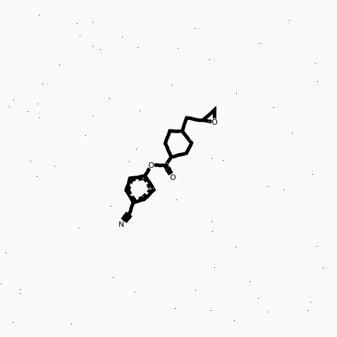 N#Cc1ccc(OC(=O)C2CCC(CC3CO3)CC2)cc1